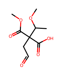 COC(=O)C(CC=O)(C(=O)O)C(C)OC